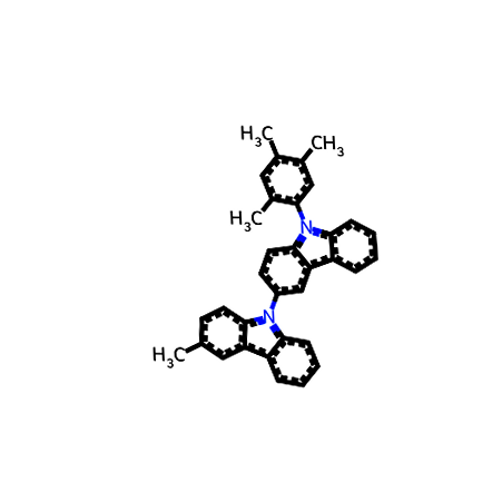 Cc1ccc2c(c1)c1ccccc1n2-c1ccc2c(c1)c1ccccc1n2-c1cc(C)c(C)cc1C